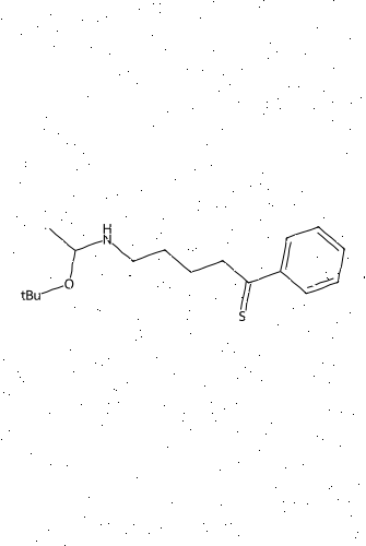 [CH2]C(NCCCCC(=S)c1ccccc1)OC(C)(C)C